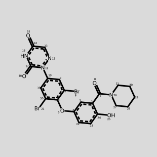 O=C(c1cc(Oc2c(Br)cc(-n3ncc(=O)[nH]c3=O)cc2Br)ccc1O)N1CCCCC1